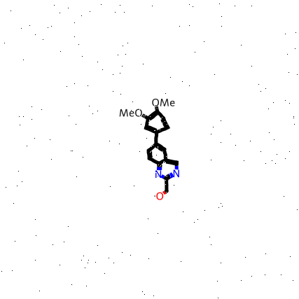 COc1ccc(-c2ccc3nc(C[O])ncc3c2)cc1OC